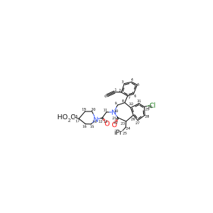 C#Cc1ccccc1C1CN(CC(=O)N2CCC(C(=O)O)CC2)C(=O)C(CC(C)C)c2ccc(Cl)cc21